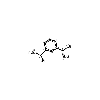 CCCC[C@H](Br)c1cccc([C@@H](Br)CCCC)c1